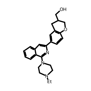 CCN1CCN(c2nc(-c3ccc4c(c3)CC(CO)CO4)cc3ccccc23)CC1